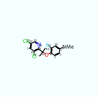 CNc1ccc(OC(C)(C)c2ncc(Cl)cc2Cl)c(F)c1